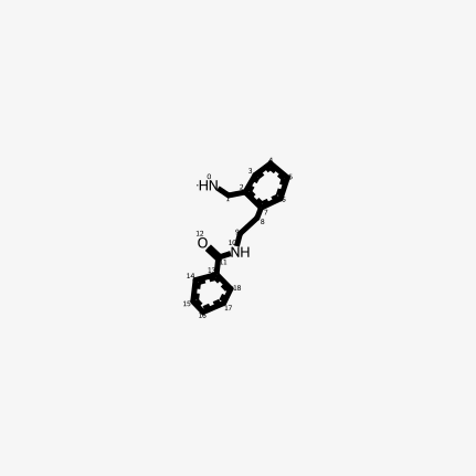 [NH]Cc1ccccc1CCNC(=O)c1ccccc1